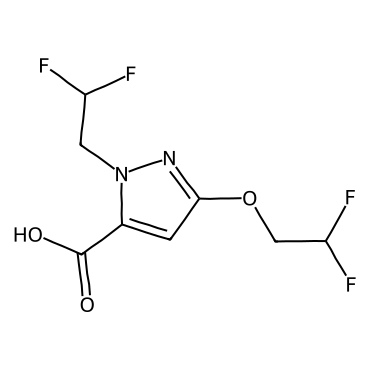 O=C(O)c1cc(OCC(F)F)nn1CC(F)F